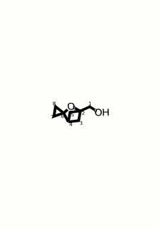 OCC12CC(C1)C1(CC1)O2